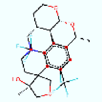 C[C@@H](O[C@H]1OCC[C@@H](CN2CCC3(CC2)COC[C@@]3(C)O)[C@@H]1c1ccc(F)cc1)c1cc(C(F)(F)F)cc(C(F)(F)F)c1